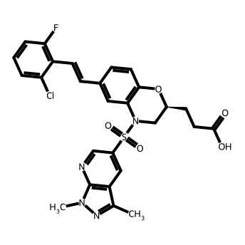 Cc1nn(C)c2ncc(S(=O)(=O)N3C[C@H](CCC(=O)O)Oc4ccc(/C=C/c5c(F)cccc5Cl)cc43)cc12